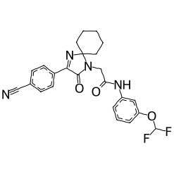 N#Cc1ccc(C2=NC3(CCCCC3)N(CC(=O)Nc3cccc(OC(F)F)c3)C2=O)cc1